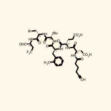 C#CCCCC(=O)N[C@@H](CC(=O)O)C(=O)N[C@@H](CCC(=O)O)C(=O)N[C@@H](Cc1ccccc1C)C(=O)N[C@H](C(=O)N[C@@H](CC(C)C)C(=O)N[C@H](C=O)CC(F)(F)F)C(C)(C)C